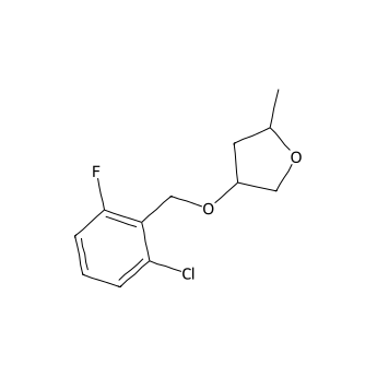 CC1CC(OCc2c(F)cccc2Cl)CO1